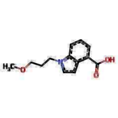 COCCCn1ccc2c(C(=O)O)cccc21